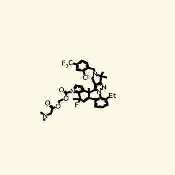 CCc1cccc2c1-n1nc3c(c1C1(C)C2=CC(C)(F)c2c1ccn2C(=O)OCOC(=O)CN(C)C)CN(Cc1ccc(C(F)(F)F)cc1C(F)(F)F)C3(C)C